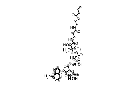 CC(=O)CCC(=O)SCCNC(=O)CCNC(=O)C(O)C(C)(C)COP(=O)(O)OP(=O)(O)OC[C@H]1O[C@@H](n2cnc3c(N)ncnc32)[C@H](O)[C@@H]1OP(=O)(O)O